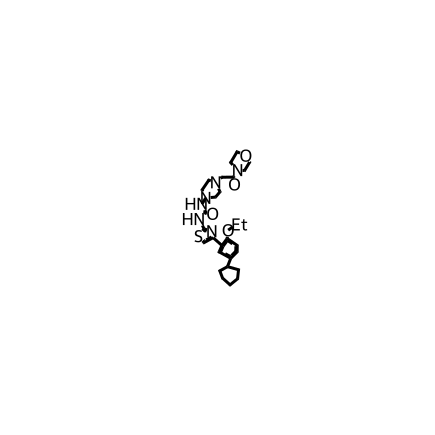 CCOc1ccc(C2CCCCC2)cc1-c1csc(NC(=O)NN2CCN(CC(=O)N3CCOCC3)CC2)n1